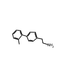 Cc1ccccc1-c1ccc(CCN)cc1